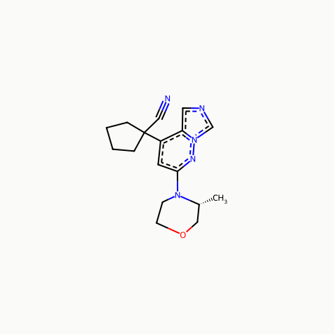 C[C@@H]1COCCN1c1cc(C2(C#N)CCCC2)c2cncn2n1